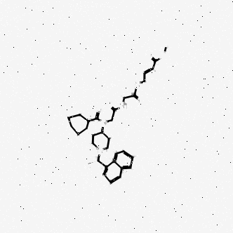 COC(=O)/C=C/CNC(=O)CNC(=O)CN(C(=O)C1CCCCC1)C1CCN([C@H](C)c2cccc3ccccc23)CC1